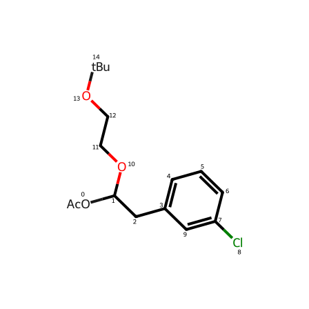 CC(=O)OC(Cc1cccc(Cl)c1)OCCOC(C)(C)C